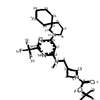 CN(CC1CN(C(=O)OC(C)(C)C)C1)c1cc(N2CCCC3(CCCCC3)C2)nc(C(F)(F)F)n1